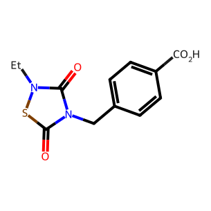 CCn1sc(=O)n(Cc2ccc(C(=O)O)cc2)c1=O